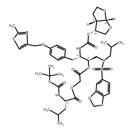 Cc1nc(COc2ccc(C[C@H](NC(=O)O[C@H]3CO[C@H]4OCC[C@H]43)[C@@H](CN(CC(C)C)S(=O)(=O)c3ccc4c(c3)OCO4)OC(=O)COC(=O)[C@H](CC(C)C)NC(=O)OC(C)(C)C)cc2)cs1